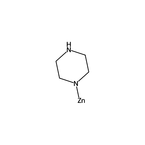 [Zn][N]1CCNCC1